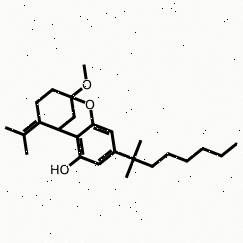 CCCCCCC(C)(C)c1cc(O)c2c(c1)OC1(OC)CCC(=C(C)C)C2C1